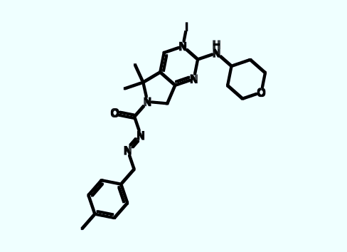 Cc1ccc(CN=NC(=O)N2CC3=NC(NC4CCOCC4)N(I)C=C3C2(C)C)cc1